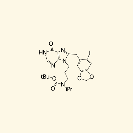 CC(C)N(CCCn1c(Cc2cc3c(cc2I)OCO3)nc2c(=O)[nH]cnc21)C(=O)OC(C)(C)C